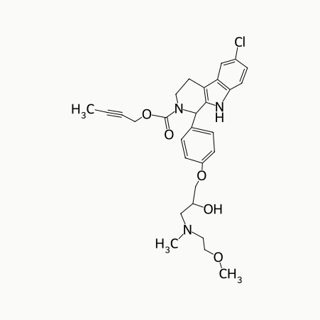 CC#CCOC(=O)N1CCc2c([nH]c3ccc(Cl)cc23)C1c1ccc(OCC(O)CN(C)CCOC)cc1